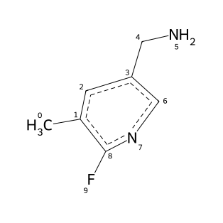 Cc1cc(CN)cnc1F